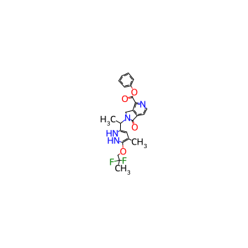 CC1=C(OCC(C)(F)F)NNC(C(C)N2Cc3c(ccnc3C(=O)Oc3ccccc3)C2=O)=C1